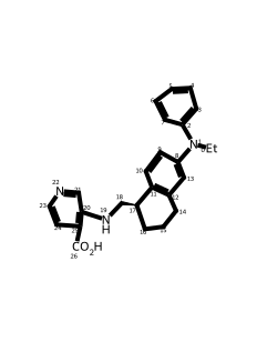 CCN(c1ccccc1)c1ccc2c(c1)CCC[C@H]2CNc1cnccc1C(=O)O